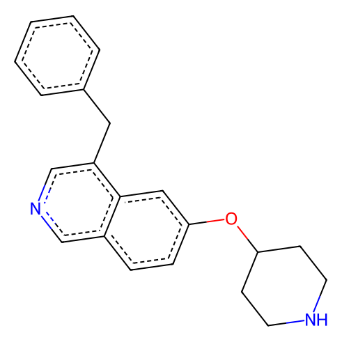 c1ccc(Cc2cncc3ccc(OC4CCNCC4)cc23)cc1